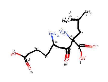 CC(C)CC(N)(C(=O)O)C(=O)C(N)CCC(=O)O